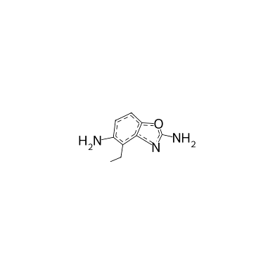 CCc1c(N)ccc2oc(N)nc12